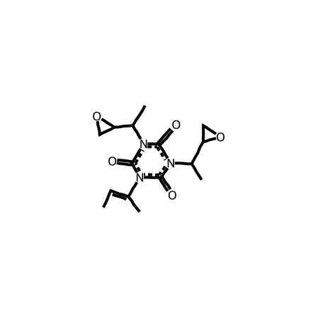 C/C=C(\C)n1c(=O)n(C(C)C2CO2)c(=O)n(C(C)C2CO2)c1=O